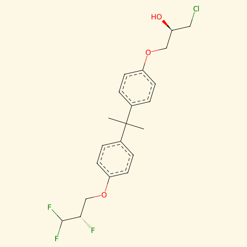 CC(C)(c1ccc(OC[C@@H](O)CCl)cc1)c1ccc(OC[C@H](F)C(F)F)cc1